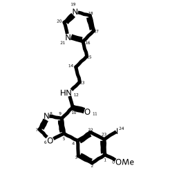 COc1ccc(-c2ocnc2C(=O)NCCCc2ccncn2)cc1I